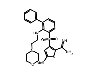 CSc1cc(S(=O)(=O)c2cccc(-c3ccccc3)c2NCCN2CCOCC2)c(C(=N)N)s1